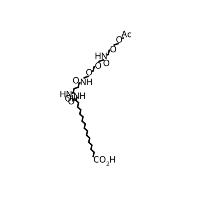 CC(=O)COCCOCCNC(=O)COCCOCCNC(=O)CCC(NO)NC(=O)CCCCCCCCCCCCCCCCC(=O)O